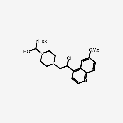 CCCCCCC(O)N1CCN(CC(O)c2ccnc3ccc(OC)cc23)CC1